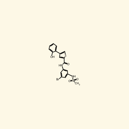 CS(=O)(=O)Nc1cc(Br)cc(NC(=O)c2cc(-c3ccccc3O)cs2)c1